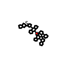 c1ccc2c(c1)-c1ccccc1C21c2ccc3ccccc3c2-c2c1c1ccc(-c3c4ccccc4c(-c4ccc5sc6cc7ccccc7cc6c5c4)c4ccccc34)cc1c1ccccc21